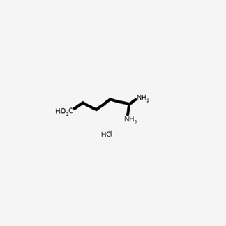 Cl.NC(N)CCCC(=O)O